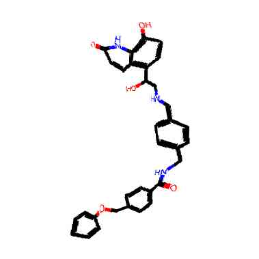 O=C(NCc1ccc(CNCC(O)c2ccc(O)c3[nH]c(=O)ccc23)cc1)c1ccc(COc2ccccc2)cc1